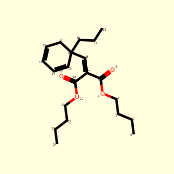 CCCCOC(=O)C(=CC1(CCC)C=CC=CC1)C(=O)OCCCC